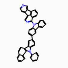 c1ccc(-n2c3ccc(-c4ccc5c(c4)c4ccccc4n5-c4ncc5c6c(cccc46)-c4cnccc4-5)cc3c3ccc4ccccc4c32)cc1